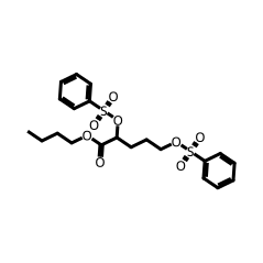 CCCCOC(=O)C(CCCOS(=O)(=O)c1ccccc1)OS(=O)(=O)c1ccccc1